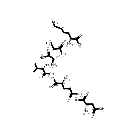 CC(C)[C@H](N)C(=O)O.C[C@H](N)C(=O)O.NC(=O)CC[C@H](N)C(=O)O.NCC(=O)O.NCCCC[C@H](N)C(=O)O.N[C@@H](CC(=O)O)C(=O)O